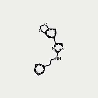 c1ccc(CCNc2nc(-c3ccc4c(c3)OCO4)cs2)cc1